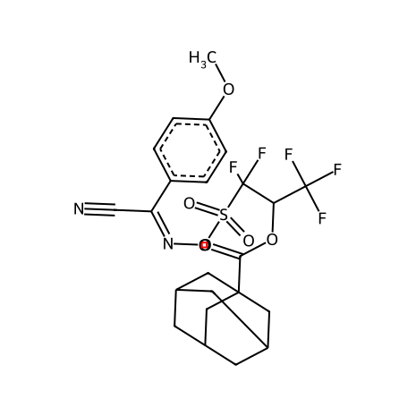 COc1ccc(/C(C#N)=N\OS(=O)(=O)C(F)(F)C(OC(=O)C23CC4CC(CC(C4)C2)C3)C(F)(F)F)cc1